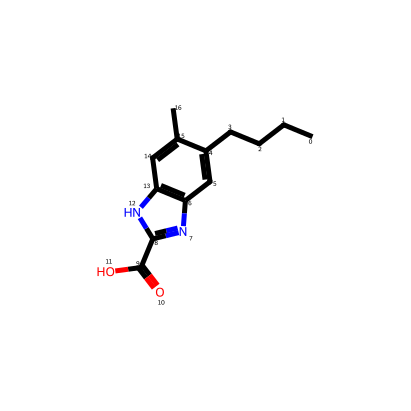 CCCCc1cc2nc(C(=O)O)[nH]c2cc1C